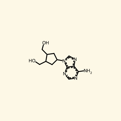 Nc1ncnc2c1ncn2C1CC(CO)C(CO)C1